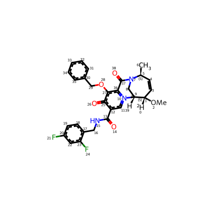 [2H][C@]1(OC)C=C[C@H](C)N2C[C@H]1n1cc(C(=O)NCc3ccc(F)cc3F)c(=O)c(OCc3ccccc3)c1C2=O